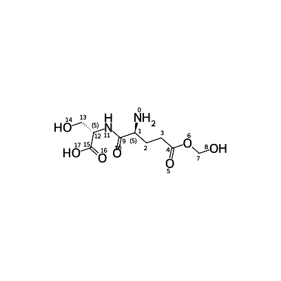 N[C@@H](CCC(=O)OCO)C(=O)N[C@@H](CO)C(=O)O